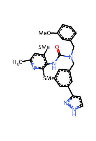 COc1cccc(CN(Cc2cccc(-c3cc[nH]n3)c2)C(=O)Nc2c(SC)cc(C)nc2SC)c1